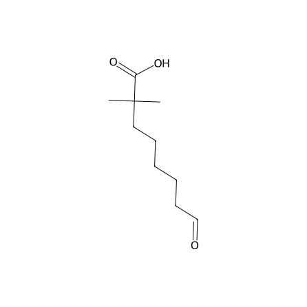 CC(C)(CCCCCC=O)C(=O)O